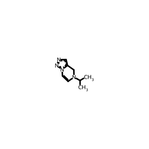 CC(C)N1C=Cn2nncc2C1